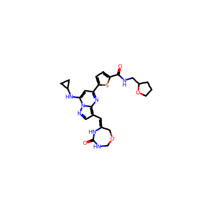 O=C1NCOC/C(=C/c2cnn3c(NC4CC4)cc(-c4ccc(C(=O)NCC5CCCO5)s4)nc23)N1